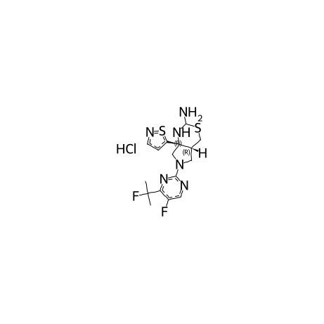 CC(C)(F)c1nc(N2C[C@H]3CSC(N)N[C@@]3(c3ccns3)C2)ncc1F.Cl